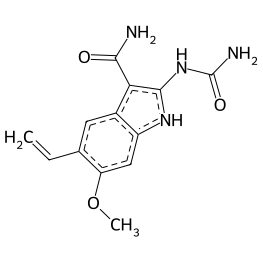 C=Cc1cc2c(C(N)=O)c(NC(N)=O)[nH]c2cc1OC